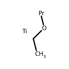 CC[O][Pr].[Ti]